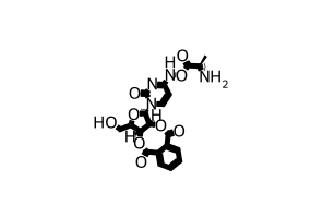 C[C@@H](N)C(=O)ONc1ccn([C@@H]2OC(CO)[C@H]3OC(=O)c4ccccc4C(=O)O[C@H]32)c(=O)n1